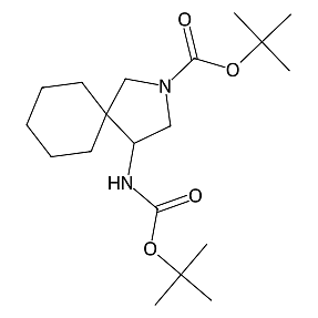 CC(C)(C)OC(=O)NC1CN(C(=O)OC(C)(C)C)CC12CCCCC2